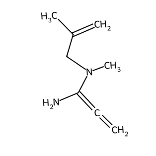 C=C=C(N)N(C)CC(=C)C